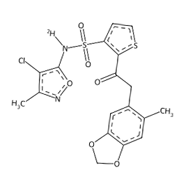 [2H]N(c1onc(C)c1Cl)S(=O)(=O)c1ccsc1C(=O)Cc1cc2c(cc1C)OCO2